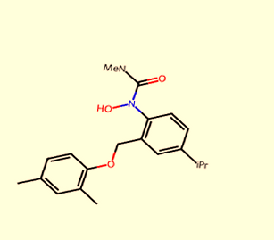 CNC(=O)N(O)c1ccc(C(C)C)cc1COc1ccc(C)cc1C